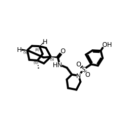 C[C@@]12C[C@H]3C[C@@H](C1)C[C@](C(=O)NCC1CCCCN1S(=O)(=O)c1ccc(O)cc1)(C3)C2